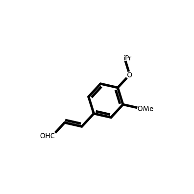 COc1cc(/C=C/C=O)ccc1OC(C)C